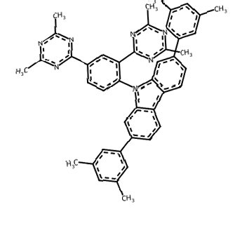 Cc1cc(C)cc(-c2ccc3c4ccc(-c5cc(C)cc(C)c5)cc4n(-c4ccc(-c5nc(C)nc(C)n5)cc4-c4nc(C)nc(C)n4)c3c2)c1